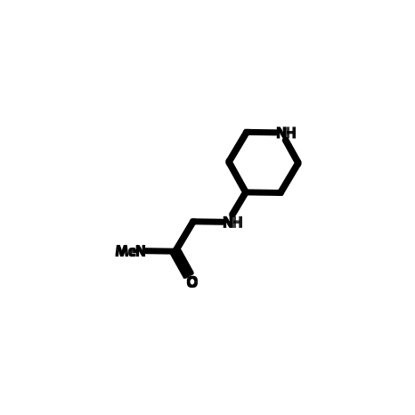 CNC(=O)CNC1CCNCC1